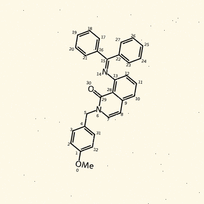 COc1ccc(Cn2ccc3cccc(N=C(c4ccccc4)c4ccccc4)c3c2=O)cc1